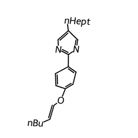 CCCC/C=C/Oc1ccc(-c2ncc(CCCCCCC)cn2)cc1